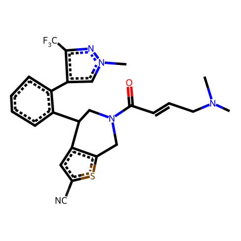 CN(C)C/C=C/C(=O)N1Cc2sc(C#N)cc2C(c2ccccc2-c2cn(C)nc2C(F)(F)F)C1